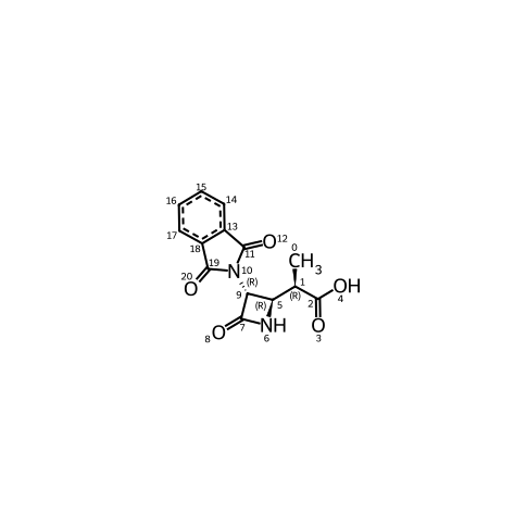 C[C@@H](C(=O)O)[C@H]1NC(=O)[C@@H]1N1C(=O)c2ccccc2C1=O